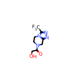 O=C(CO)N1CCn2c(nnc2C(F)(F)F)C1